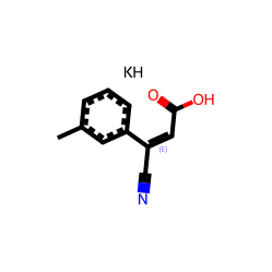 Cc1cccc(/C(C#N)=C\C(=O)O)c1.[KH]